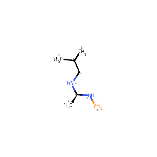 CC(C)CN[C@H](C)NP